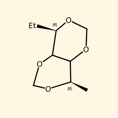 CC[C@H]1OCOC2C1OCO[C@@H]2C